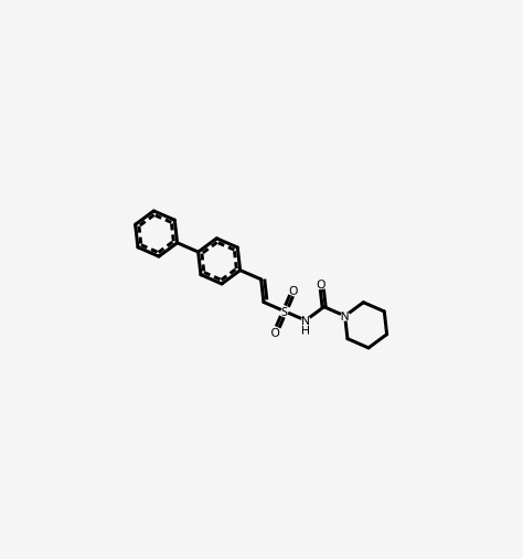 O=C(NS(=O)(=O)/C=C/c1ccc(-c2ccccc2)cc1)N1CCCCC1